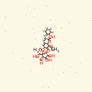 COc1cc(C=C(Cc2ccccc2)C(=O)O)cc(OC)c1O[C@H]1O[C@H](CO)[C@@H](O)[C@H](O)[C@@H]1O